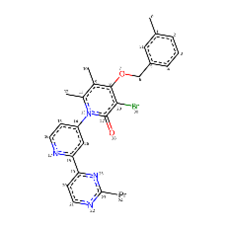 Cc1cccc(COc2c(C)c(C)n(-c3ccnc(-c4ccnc(C(C)C)n4)c3)c(=O)c2Br)c1